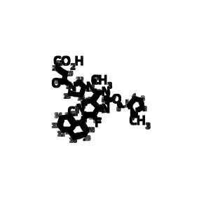 CN1CCC[C@H]1COc1nc(N(C)[C@H]2CCN(C(=O)/C=C/C(=O)O)C2)c2cnc(-c3cccc4cccc(Cl)c34)c(F)c2n1